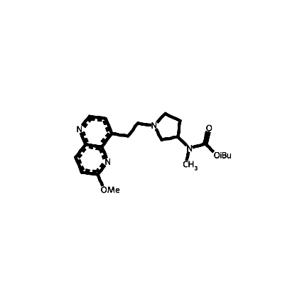 COc1ccc2nccc(CCN3CCC(N(C)C(=O)OCC(C)C)C3)c2n1